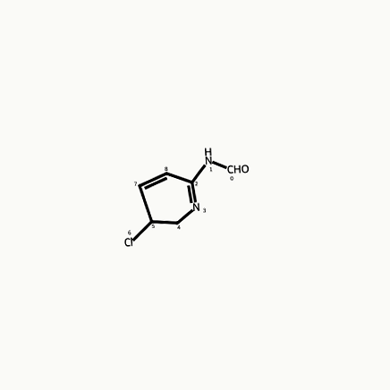 O=CNC1=NCC(Cl)C=C1